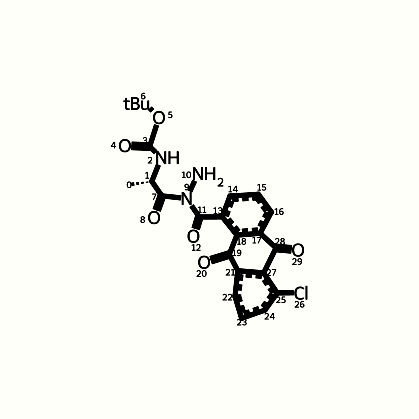 C[C@H](NC(=O)OC(C)(C)C)C(=O)N(N)C(=O)c1cccc2c1C(=O)c1cccc(Cl)c1C2=O